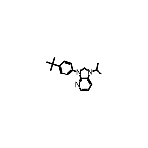 CC(C)N1CN(c2ccc(C(C)(C)C)cc2)c2ncccc21